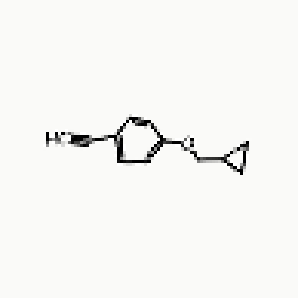 C#Cc1ccc(OCC2CC2)cc1